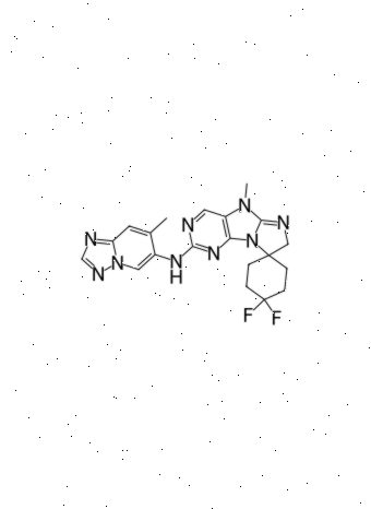 Cc1cc2ncnn2cc1Nc1ncc2c(n1)N1C(=NCC13CCC(F)(F)CC3)N2C